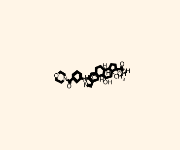 C[C@]12Cc3cnn(-c4cccc(C(=O)N5CCOCC5)c4)c3C=C1CC[C@@H]1[C@@H]2[C@@H](O)C[C@@]2(C)[C@H]1CC[C@]2(O)C(=O)O